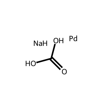 O=C(O)O.[NaH].[Pd]